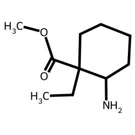 CCC1(C(=O)OC)CCCCC1N